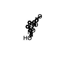 COCCN1CCc2c(cc(-c3cccc(-c4cccc(-c5cnc(CN6CC(O)C6)c(OC)n5)c4Cl)c3Cl)nc2OC)C1